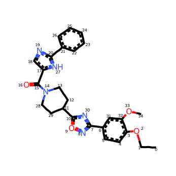 CCOc1ccc(-c2noc(C3CCN(C(=O)c4cnc(-c5ccccc5)[nH]4)CC3)n2)cc1OC